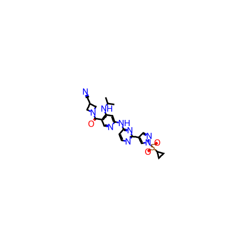 CC(C)Nc1cc(Nc2ccnc(-c3cnn(S(=O)(=O)C4CC4)c3)n2)ncc1C(=O)N1CC(C#N)C1